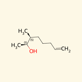 C=CCCC[C@H](C)[C@H](C)O